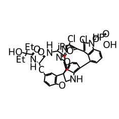 CCC(O)(CC)C(=O)N[C@H]1Cc2ccc3c(c2)C24c5cccc(c5NC2O3)-c2cccc3c2c(c(Cl)n3O[PH](=O)O)-c2oc(nc2Cl)-c2nc(oc24)C(C(C)C)NC1=O